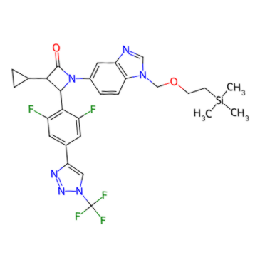 C[Si](C)(C)CCOCn1cnc2cc(N3C(=O)C(C4CC4)C3c3c(F)cc(-c4cn(C(F)(F)F)nn4)cc3F)ccc21